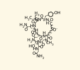 CC[C@H](C)[C@@H]1NC(=O)[C@@H](Cc2ccc(O)cc2)NC(=O)CC[S+]([O-])CC[C@@H](C(=O)N(C)CC(=O)N[C@@H](CO)C(=O)NCC(N)=O)NC(=O)[C@H](CC(N)=O)NC(=O)[C@H](CCC(N)=O)NC1=O